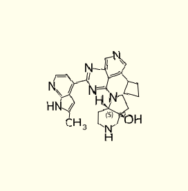 Cc1cc2c(-c3nc(N4CC[C@]5(O)CNCC[C@H]45)c4c(C5CCC5)cncc4n3)ccnc2[nH]1